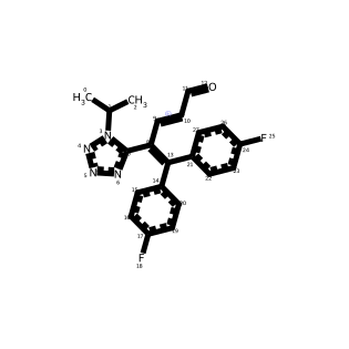 CC(C)n1nnnc1C(/C=C/C=O)=C(c1ccc(F)cc1)c1ccc(F)cc1